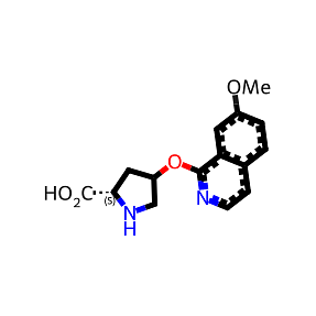 COc1ccc2ccnc(OC3CN[C@H](C(=O)O)C3)c2c1